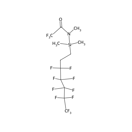 CN(C(=O)C(F)(F)F)[Si](C)(C)CCC(F)(F)C(F)(F)C(F)(F)C(F)(F)C(F)(F)F